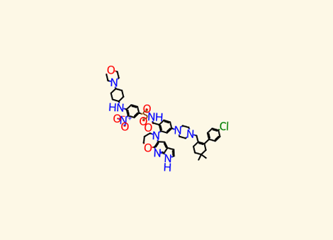 CC1(C)CCC(CN2CCN(c3ccc(C(=O)NS(=O)(=O)c4ccc(NC5CCC(N6CCOCC6)CC5)c([N+](=O)[O-])c4)c(N4CCCOc5nc6[nH]ccc6cc54)c3)CC2)=C(c2ccc(Cl)cc2)C1